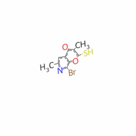 Cc1cc2c(=O)c(C)c(S)oc2c(Br)n1